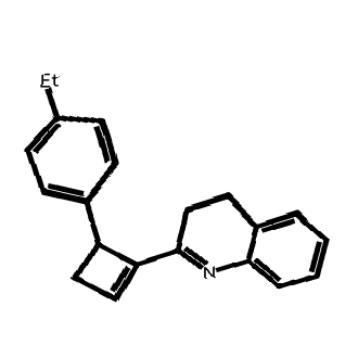 CCc1ccc(C2CC=C2C2=Nc3ccccc3CC2)cc1